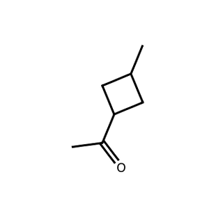 CC(=O)C1CC(C)C1